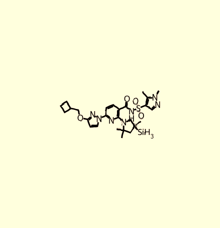 Cc1c(S(=O)(=O)NC(=O)c2ccc(-n3ccc(OCC4CCC4)n3)nc2N2C[C@](C)([SiH3])CC2(C)C)cnn1C